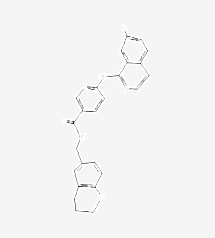 O=C(NCc1ccc2c(c1)CCCO2)c1ccc(Nc2nccc3ccc(Cl)cc23)nc1